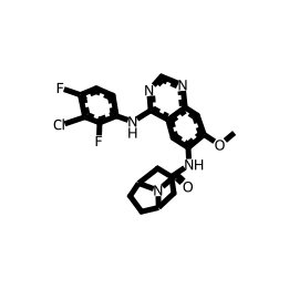 COc1cc2ncnc(Nc3ccc(F)c(Cl)c3F)c2cc1NC1CC2CCC(C1)N2C=O